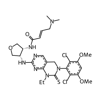 CCN1C(=S)N(c2c(Cl)c(OC)cc(OC)c2Cl)Cc2cnc(N[C@@H]3COC[C@@H]3NC(=O)/C=C/CN(C)C)nc21